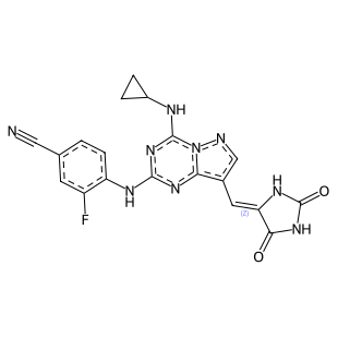 N#Cc1ccc(Nc2nc(NC3CC3)n3ncc(/C=C4\NC(=O)NC4=O)c3n2)c(F)c1